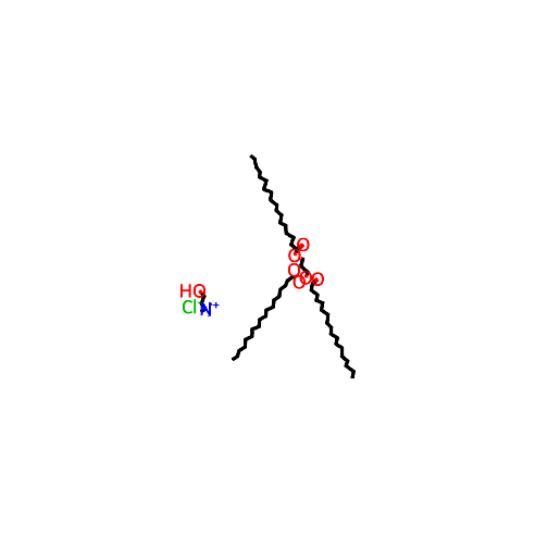 CCCCCCCCCCCCCCCCCC(=O)OCC(COC(=O)CCCCCCCCCCCCCCCCC)OC(=O)CCCCCCCCCCCCCCCCC.C[N+](C)(C)CCO.[Cl-]